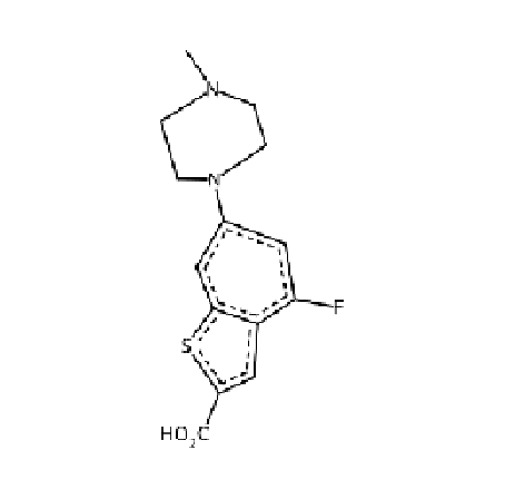 CN1CCN(c2cc(F)c3cc(C(=O)O)sc3c2)CC1